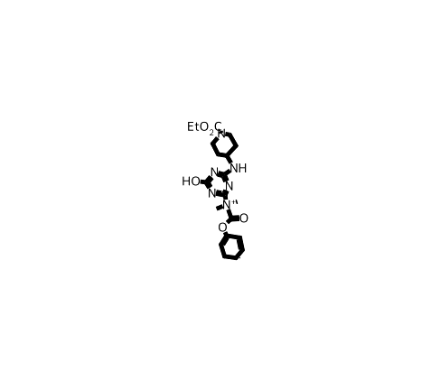 CCOC(=O)N1CCC(Nc2nc(O)nc([N+](C)(C)C(=O)OC3=CC[CH]C=C3)n2)CC1